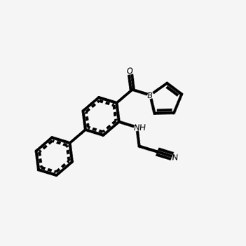 N#CCNc1cc(-c2ccccc2)ccc1C(=O)B1C=CC=C1